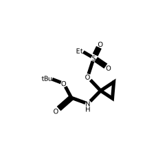 CCS(=O)(=O)OC1(NC(=O)OC(C)(C)C)CC1